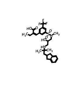 CCC(=Cc1cc(C(F)(F)F)cc(S(=O)(=O)N(C)CC(O)CNC(C)(C)CC2Cc3ccccc3C2)c1)C(=O)O